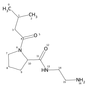 CC(C)CC(=O)N1CCCC1C(=O)NCCN